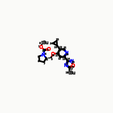 CC(C)(C)OC(=O)N1CCC[C@H]1COc1cc(-c2noc(C(C)(C)C)n2)ncc1C1CC1